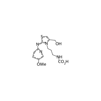 COc1ccc(N=c2scc(CO)n2CCCNC(=O)O)nc1